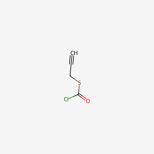 C#CCSC(=O)Cl